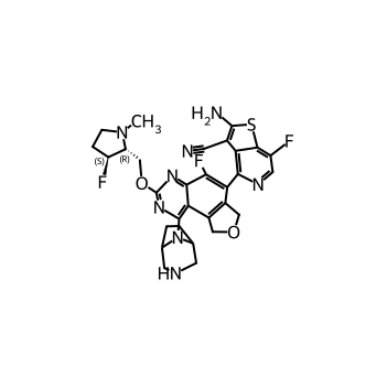 CN1CC[C@H](F)[C@H]1COc1nc(N2C3CCC2CNC3)c2c3c(c(-c4ncc(F)c5sc(N)c(C#N)c45)c(F)c2n1)COC3